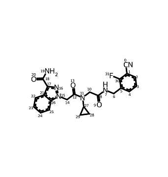 N#Cc1cccc(CNC(=O)CN(C(=O)Cn2nc(C(N)=O)c3ccccc32)C2CC2)c1F